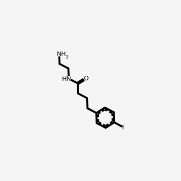 NCCNC(=O)CCCc1ccc(I)cc1